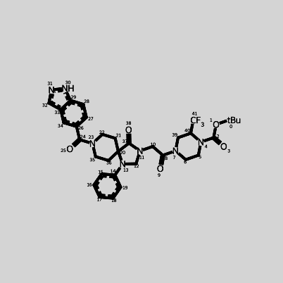 CC(C)(C)OC(=O)N1CCN(C(=O)CN2CN(c3ccccc3)C3(CCN(C(=O)c4ccc5[nH]ncc5c4)CC3)C2=O)CC1C(F)(F)F